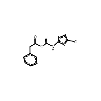 O=C(Cc1ccccc1)OC(=O)Nc1ncc(Cl)s1